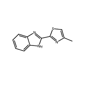 Cc1csc(-c2nc3ccccc3[nH]2)n1